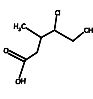 CCC(Cl)C(C)CC(=O)O